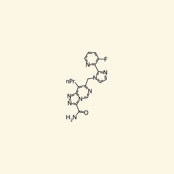 CCCc1c(Cn2ccnc2-c2ncccc2F)ncn2c(C(N)=O)nnc12